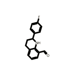 O=Cc1cccc2c1NC(c1ccc(F)cc1)CC2